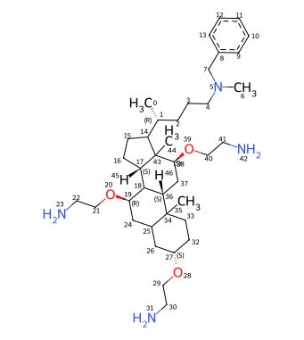 C[C@H](CCCN(C)Cc1ccccc1)C1CC[C@H]2C3[C@H](OCCN)CC4C[C@@H](OCCN)CCC4(C)[C@H]3C[C@H](OCCN)C12C